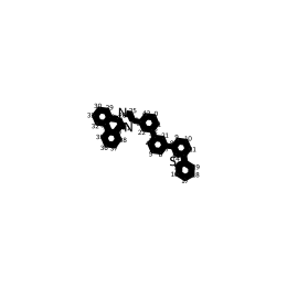 c1cc(-c2cccc(-c3cccc4c3sc3ccccc34)c2)cc(-c2cnc3c4ccccc4c4ccccc4c3n2)c1